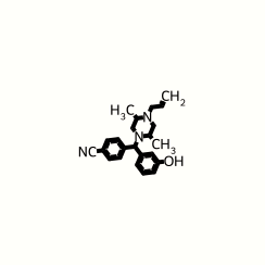 C=CCN1CC(C)N(C(c2ccc(C#N)cc2)c2cccc(O)c2)CC1C